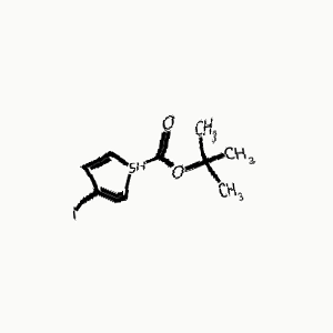 CC(C)(C)OC(=O)[SH]1C=CC(I)=C1